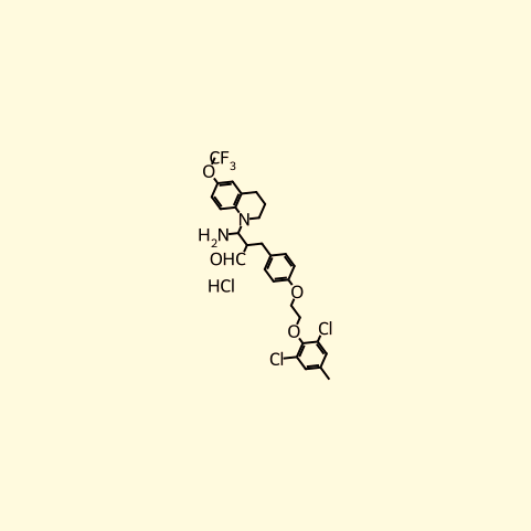 Cc1cc(Cl)c(OCCOc2ccc(CC(C=O)C(N)N3CCCc4cc(OC(F)(F)F)ccc43)cc2)c(Cl)c1.Cl